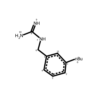 CCCCc1cccc(CNC(=N)N)c1